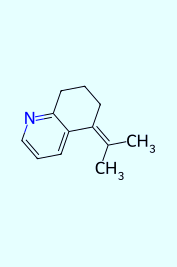 CC(C)=C1CCCc2ncccc21